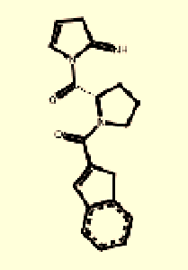 N=C1CC=CN1C(=O)[C@@H]1CCCN1C(=O)C1=Cc2ccccc2C1